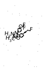 CN1C(=O)[C@@](c2ccc(OC(F)F)cc2)(c2cccc(C#CCCF)c2)N=C1N